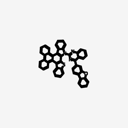 c1ccc2c(-c3ccc4c(c3)oc3ccccc34)nc(-n3c4ccccc4c4c5c6ccccc6c6ccccc6c5c5c6ccccc6sc5c43)nc2c1